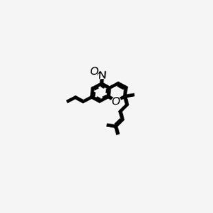 CCCc1cc(N=O)c2c(c1)OC(C)(CCC=C(C)C)C=C2